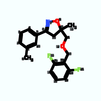 Cc1cccc(C2=NOC(C)(COCc3c(F)cccc3F)C2)c1